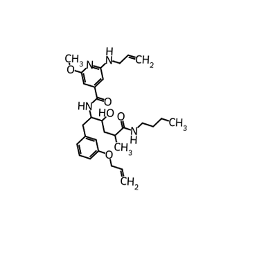 C=CCNc1cc(C(=O)NC(Cc2cccc(OCC=C)c2)C(O)CC(C)C(=O)NCCCC)cc(OC)n1